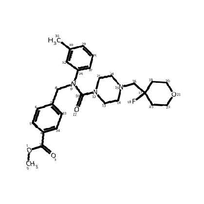 COC(=O)c1ccc(CN(C(=O)N2CCN(CC3(F)CCOCC3)CC2)c2cccc(C)c2)cc1